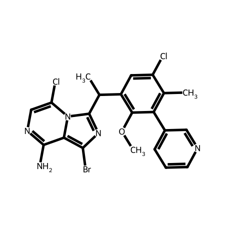 COc1c(C(C)c2nc(Br)c3c(N)ncc(Cl)n23)cc(Cl)c(C)c1-c1cccnc1